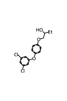 CCC(O)COc1ccc(Oc2cc(Cl)cc(Cl)c2)cc1